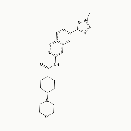 Cn1cc(-c2ccc3cnc(NC(=O)[C@H]4CC[C@H](N5CCOCC5)CC4)cc3c2)nn1